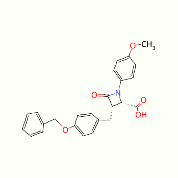 COc1ccc(N2C(=O)[C@@H](Cc3ccc(OCc4ccccc4)cc3)[C@H]2C(=O)O)cc1